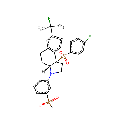 CS(=O)(=O)c1cccc(N2CC[C@@]3(S(=O)(=O)c4ccc(F)cc4)c4ccc(C(F)(C(F)(F)F)C(F)(F)F)cc4CC[C@@H]23)c1